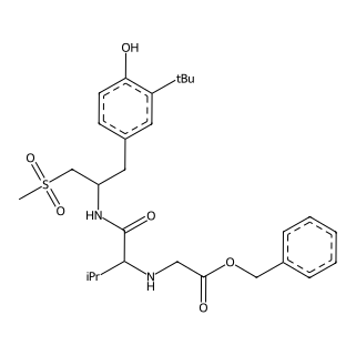 CC(C)C(NCC(=O)OCc1ccccc1)C(=O)NC(Cc1ccc(O)c(C(C)(C)C)c1)CS(C)(=O)=O